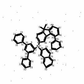 CC1(C)c2ccc(N(c3cc(-c4ccccc4)cc(-c4ccccc4)c3)c3ccc4ccccc4c3)cc2-c2c(-c3ccccc3)cccc21